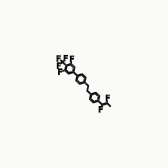 C/C(F)=C(\F)c1ccc(CCc2ccc(-c3cc(F)c(C(F)(F)F)c(F)c3)cc2)cc1